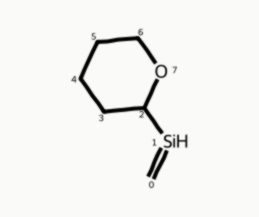 C=[SiH]C1CCCCO1